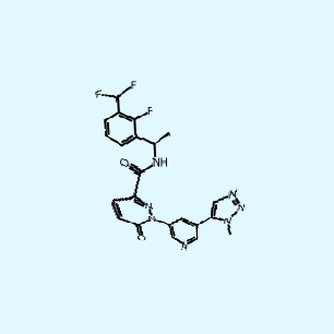 C[C@@H](NC(=O)c1ccc(=O)n(-c2cncc(-c3cnnn3C)c2)n1)c1cccc(C(F)F)c1F